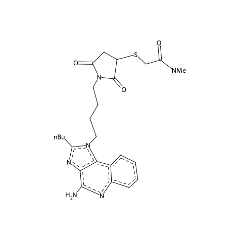 CCCCc1nc2c(N)nc3ccccc3c2n1CCCCN1C(=O)CC(SCC(=O)NC)C1=O